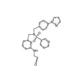 O=CCNc1cccc(CN(Cc2ccc(-n3cccn3)cc2)S(=O)(=O)c2cccnc2)n1